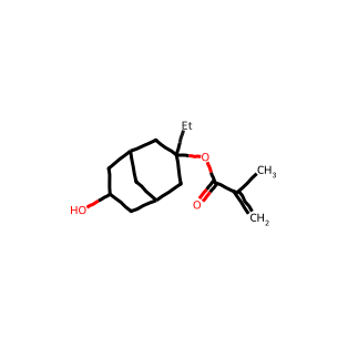 C=C(C)C(=O)OC1(CC)CC2CC(O)CC(C2)C1